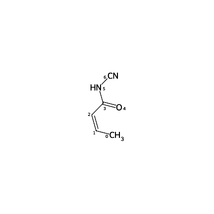 C/C=C\C(=O)NC#N